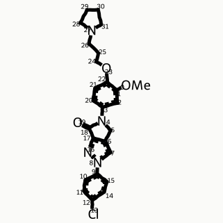 COc1cc(N2Cc3cn(-c4ccc(Cl)cc4)nc3C2=O)ccc1OCCCN1CCCC1